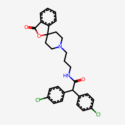 O=C1OC2(CCN(CCCNC(=O)C(c3ccc(Cl)cc3)c3ccc(Cl)cc3)CC2)c2ccccc21